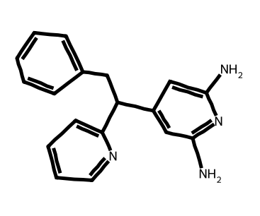 Nc1cc(C(Cc2ccccc2)c2ccccn2)cc(N)n1